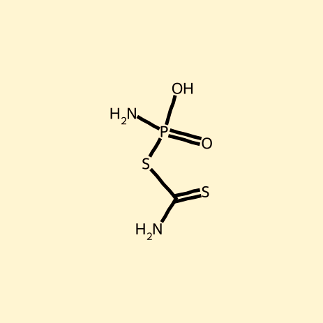 NC(=S)SP(N)(=O)O